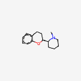 CN1CCCCC1C1CCc2ccccc2O1